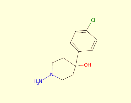 NN1CCC(O)(c2ccc(Cl)cc2)CC1